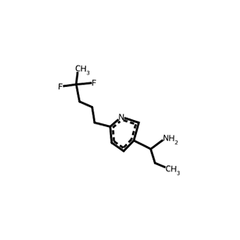 CCC(N)c1ccc(CCCC(C)(F)F)nc1